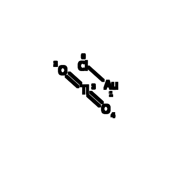 [Cl][Au].[O]=[Ti]=[O]